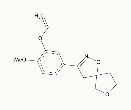 C=COc1cc(C2=NOC3(CCOC3)C2)ccc1OC